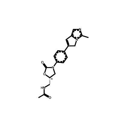 CC(=O)NC[C@H]1CN(c2ccc(C3=Cc4cnc(C)n4C3)cc2)C(=O)O1